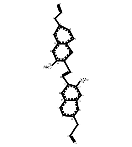 C=CCc1ccc2cc(C=Cc3cc4ccc(CC=C)cc4cc3SC)c(SC)cc2c1